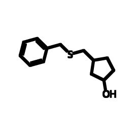 OC1CCC(CSCc2ccccc2)C1